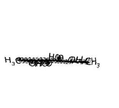 CCCCCCCCC(O)CCCCCCCC(CCCCCCC(CCCCCCCC(O)CCCCCCCC)C(=O)O)C(=O)O